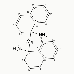 N[C]1([Mg][C]2(N)CC=Cc3ccccc32)CC=Cc2ccccc21